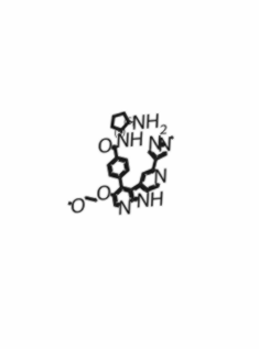 COCCOc1cnc2[nH]c3cnc(-c4cnn(C)c4)cc3c2c1-c1ccc(C(=O)N[C@H]2CCC[C@@H]2N)cc1